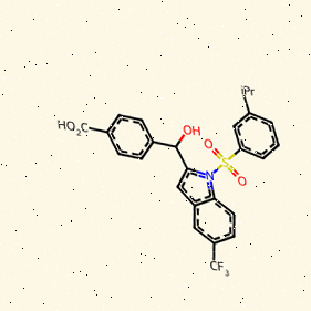 CC(C)c1cccc(S(=O)(=O)n2c(C(O)c3ccc(C(=O)O)cc3)cc3cc(C(F)(F)F)ccc32)c1